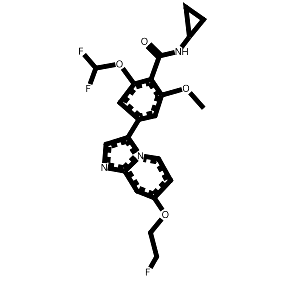 COc1cc(-c2cnc3cc(OCCF)ccn23)cc(OC(F)F)c1C(=O)NC1CC1